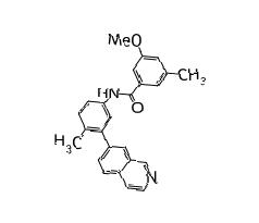 COc1cc(C)cc(C(=O)Nc2ccc(C)c(-c3ccc4ccncc4c3)c2)c1